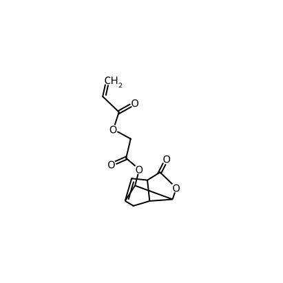 C=CC(=O)OCC(=O)OC1C2=CC3C(=O)OC1C3C2